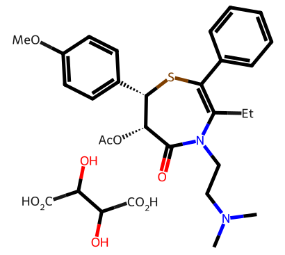 CCC1=C(c2ccccc2)S[C@@H](c2ccc(OC)cc2)[C@@H](OC(C)=O)C(=O)N1CCN(C)C.O=C(O)C(O)C(O)C(=O)O